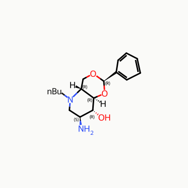 CCCCN1C[C@H](N)[C@@H](O)[C@@H]2O[C@H](c3ccccc3)OC[C@H]21